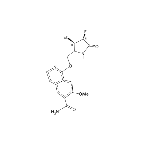 CC[C@@H]1C(COc2nccc3cc(C(N)=O)c(OC)cc23)NC(=O)[C@@H]1F